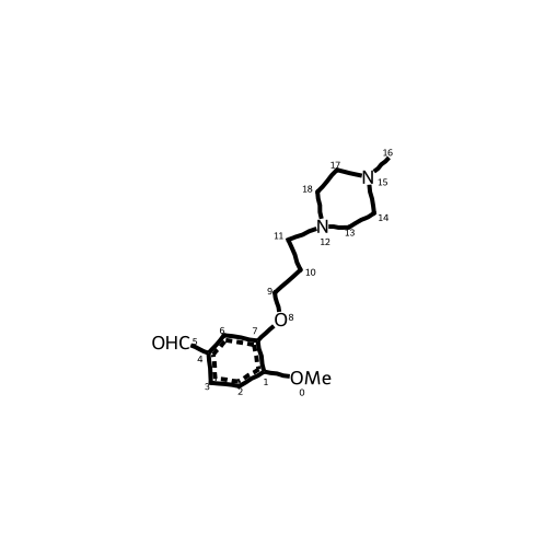 COc1ccc(C=O)cc1OCCCN1CCN(C)CC1